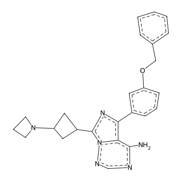 Nc1ncnn2c(C3CC(N4CCC4)C3)nc(-c3cccc(OCc4ccccc4)c3)c12